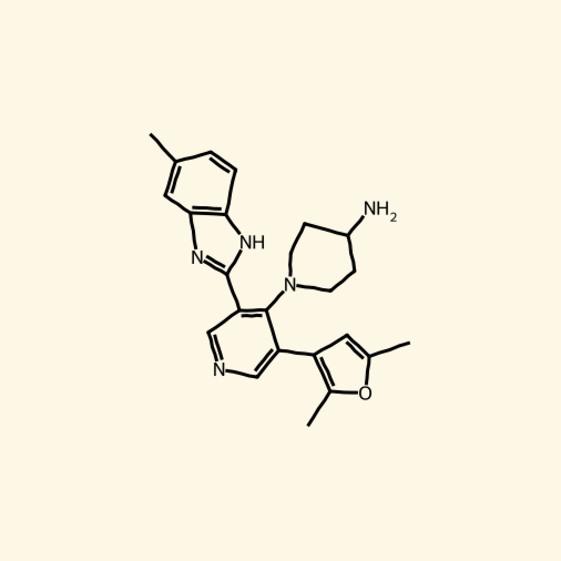 Cc1ccc2[nH]c(-c3cncc(-c4cc(C)oc4C)c3N3CCC(N)CC3)nc2c1